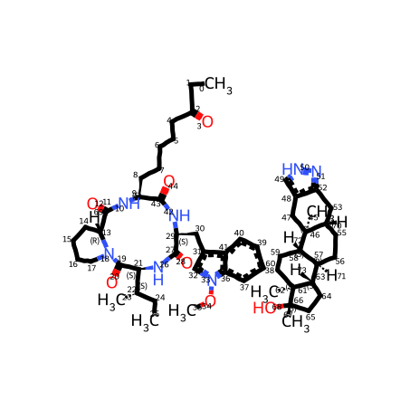 CCC(=O)CCCCC[C@@H]1NC(=O)[C@H]2CCCCN2C(=O)[C@H]([C@@H](C)CC)NC(=O)[C@H](Cc2cn(OC)c3ccccc23)NC1=O.C[C@]12Cc3c[nH]nc3C[C@@H]1CC[C@@H]1[C@@H]2CC[C@@]2(C)[C@H]1CC[C@]2(C)O